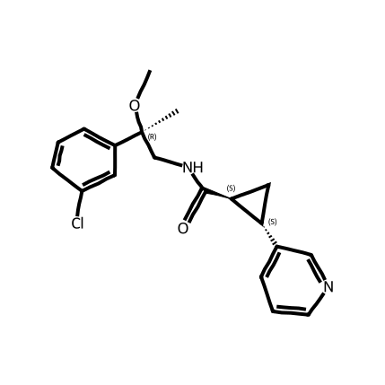 CO[C@@](C)(CNC(=O)[C@H]1C[C@@H]1c1cccnc1)c1cccc(Cl)c1